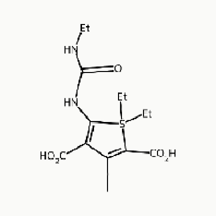 CCNC(=O)NC1=C(C(=O)O)C(C)=C(C(=O)O)S1(CC)CC